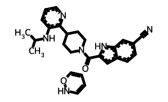 C1=CNOC=C1.CC(C)Nc1cccnc1C1CCN(C(=O)c2cc3ccc(C#N)cc3[nH]2)CC1